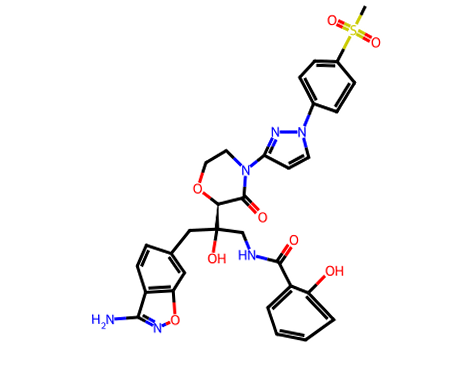 CS(=O)(=O)c1ccc(-n2ccc(N3CCO[C@H](C(O)(CNC(=O)c4ccccc4O)Cc4ccc5c(N)noc5c4)C3=O)n2)cc1